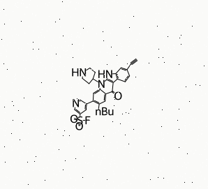 C#Cc1ccc2c(c1)[nH]c1c2c(=O)c2cc(CCCC)c(-c3cncc(S(=O)(=O)F)c3)cc2n1C1CCNCC1